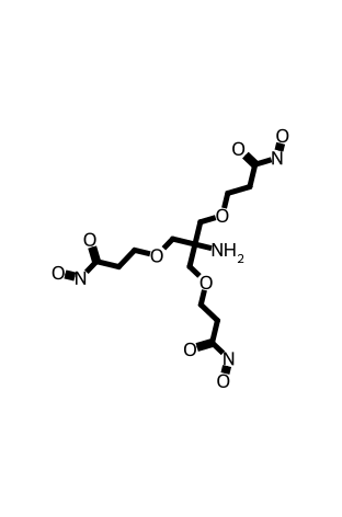 NC(COCCC(=O)N=O)(COCCC(=O)N=O)COCCC(=O)N=O